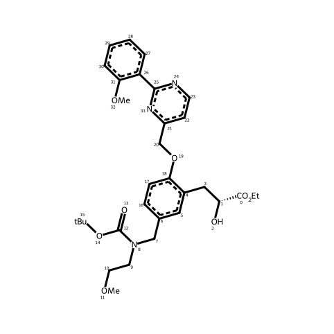 CCOC(=O)[C@H](O)Cc1cc(CN(CCOC)C(=O)OC(C)(C)C)ccc1OCc1ccnc(-c2ccccc2OC)n1